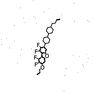 C=CCCC1CCC(C2CCC(c3cc4oc5cc(OCC=C)c(F)c(F)c5c4c(F)c3F)CC2)CC1